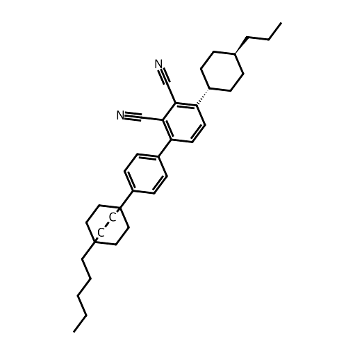 CCCCCC12CCC(c3ccc(-c4ccc([C@H]5CC[C@H](CCC)CC5)c(C#N)c4C#N)cc3)(CC1)CC2